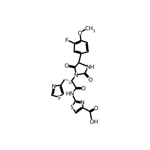 COc1ccc(C2NC(=O)N([C@@H](Cc3cscn3)C(=O)Nc3nc(C(=O)O)cs3)C2=O)cc1F